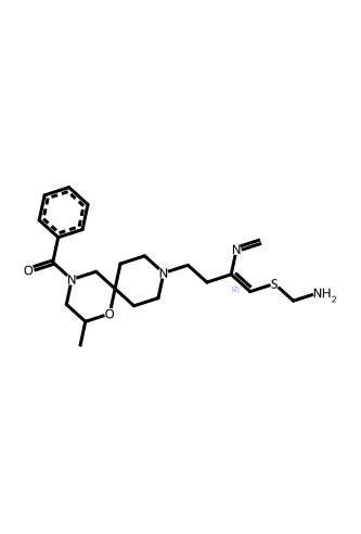 C=N/C(=C\SCN)CCN1CCC2(CC1)CN(C(=O)c1ccccc1)CC(C)O2